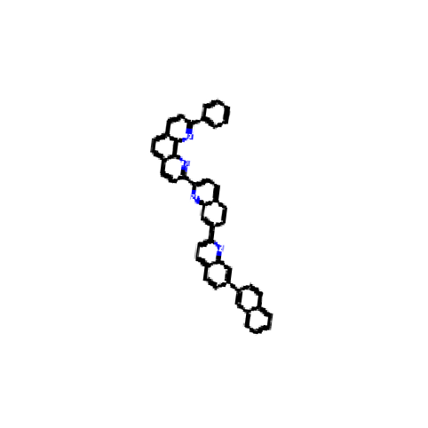 c1ccc(-c2ccc3ccc4ccc(-c5ccc6ccc(-c7ccc8ccc(-c9ccc%10ccccc%10c9)cc8n7)cc6n5)nc4c3n2)cc1